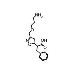 NCCCOCC1=NOC(C(Cc2ccccc2)C(=O)O)C1